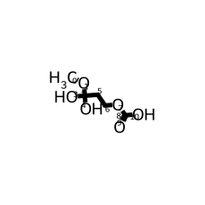 COC(O)(O)CCOC(=O)O